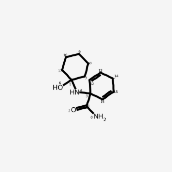 NC(=O)C1(NC2(O)CCCCC2)C=C[CH]C=C1